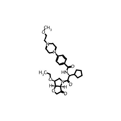 CCO[C@H]1CN(C(=O)[C@@H](NC(=O)c2ccc(N3CCN(CCOC)CC3)cc2)C2CCCC2)[C@@H]2C(=O)CO[C@H]12